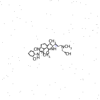 C#CCN(C)C/C=C/c1[nH]c(=O)c2c(ccc3nc(Nc4c(Cl)cccc4Cl)n(C)c32)c1C